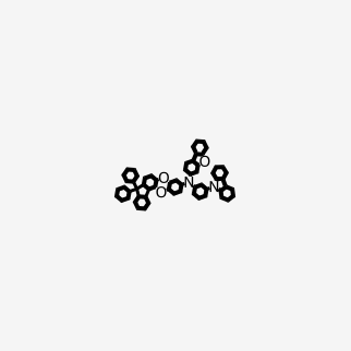 c1ccc(C2(c3ccccc3)c3ccccc3-c3c2ccc2c3Oc3ccc(N(c4cccc(-n5c6ccccc6c6ccccc65)c4)c4ccc5c(c4)oc4ccccc45)cc3O2)cc1